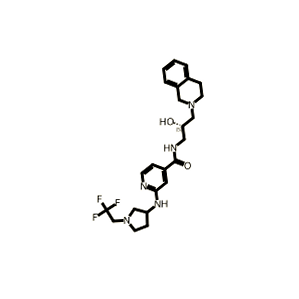 O=C(NC[C@H](O)CN1CCc2ccccc2C1)c1ccnc(NC2CCN(CC(F)(F)F)C2)c1